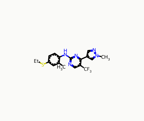 CCSc1ccc(Nc2ncc(C(F)(F)F)c(-c3cnn(C)c3)n2)c(C)c1